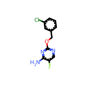 Nc1nc(OCc2cccc(Cl)c2)ncc1F